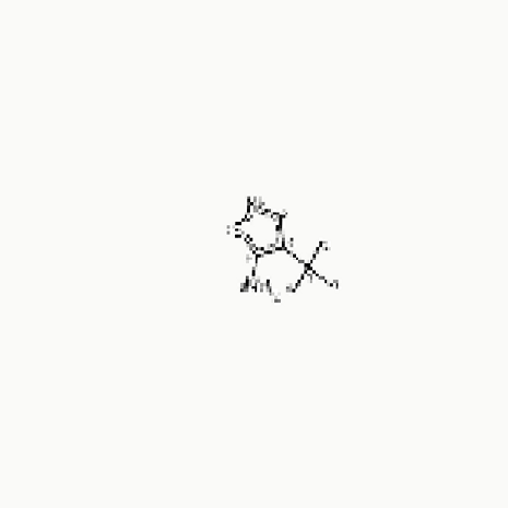 CC(C)(C)c1cnsc1N